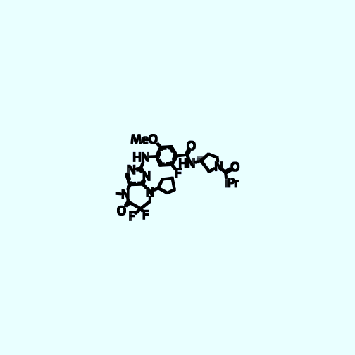 COc1cc(C(=O)N[C@H]2CCN(C(=O)C(C)C)C2)c(F)cc1Nc1ncc2c(n1)N(C1CCCC1)CC(F)(F)C(=O)N2C